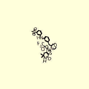 CC1(C)CC2=C(SC(N3CCOCC3Cc3cccc(Nc4cccc(S(C)(=O)=O)c4)c3)N2OC(=O)C(F)(F)F)C(=O)N1